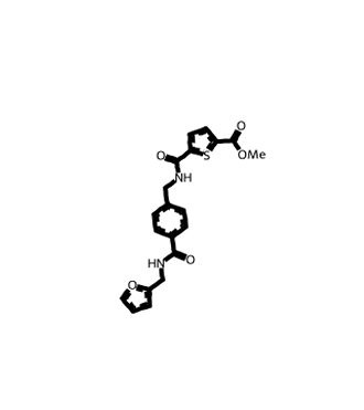 COC(=O)c1ccc(C(=O)NCc2ccc(C(=O)NCc3ccco3)cc2)s1